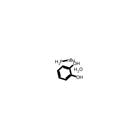 CCCCP.O.Oc1ccccc1O